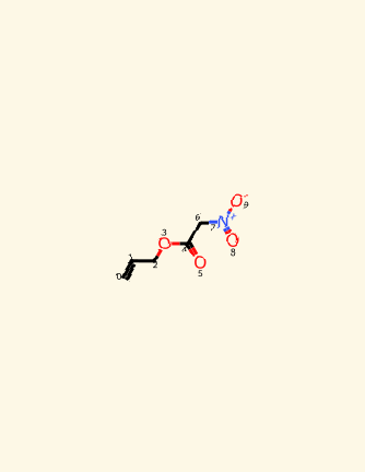 C=CCOC(=O)C[N+](=O)[O-]